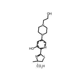 C[C@]1(C(=O)O)CSC(c2ncc(N3CCN(CCO)CC3)cc2O)=N1